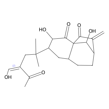 C=C1C(=O)C23C(=O)C(O)C(C(C)(C)C/C(=C/O)C(C)=O)CC2CCC1C3O